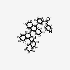 [O-][S+](c1ccncc1)c1cccc(-c2c3ccccc3c(-c3cc4ccccc4c4c3oc3ccc5ccccc5c34)c3ccccc23)c1